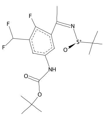 C/C(=N/[S@+]([O-])C(C)(C)C)c1cc(NC(=O)OC(C)(C)C)cc(C(F)F)c1F